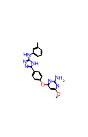 COc1cc(Oc2ccc(-c3nnc(Nc4cccc(C)c4)[nH]3)cc2)nc(N)n1